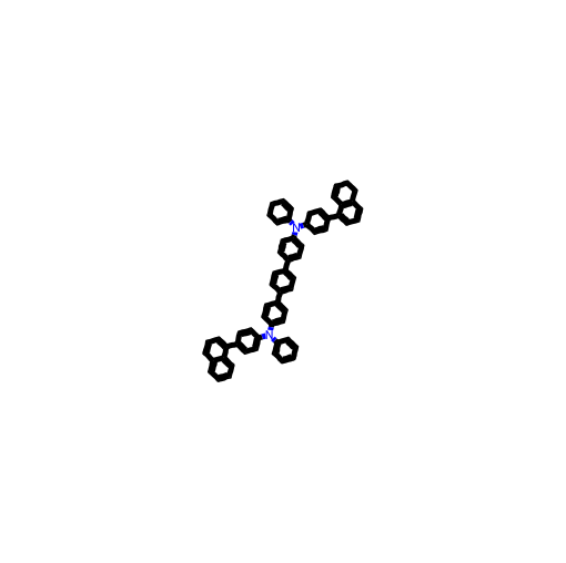 C1=CC(N(c2ccc(-c3ccc(-c4ccc(N(c5ccccc5)c5ccc(-c6cccc7ccccc67)cc5)cc4)cc3)cc2)C2C=CC(c3cccc4c3C=CCC4)=CC2)=CCC1